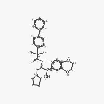 O=C(N[C@H](CN1CCCC1)[C@H](O)c1ccc2c(c1)OCCO2)C(F)(F)c1ccc(-c2ccccn2)cc1